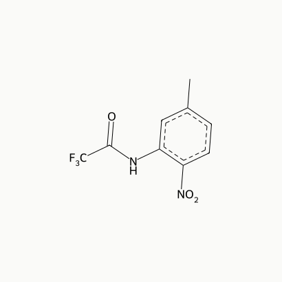 Cc1ccc([N+](=O)[O-])c(NC(=O)C(F)(F)F)c1